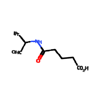 CC(C)C(C=O)NC(=O)CCCC(=O)O